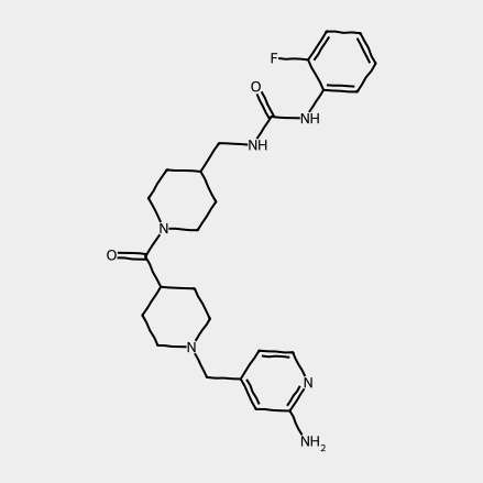 Nc1cc(CN2CCC(C(=O)N3CCC(CNC(=O)Nc4ccccc4F)CC3)CC2)ccn1